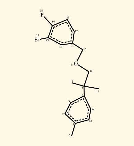 Cc1ccc(C(C)(C)COCc2ccc(F)c(Br)c2)cc1